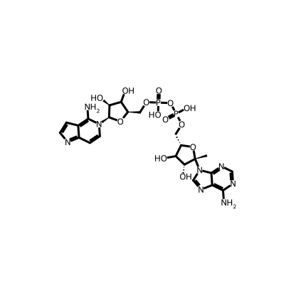 C[C@]1(n2cnc3c(N)ncnc32)O[C@@H](COP(=O)(O)OP(=O)(O)OC[C@H]2O[C@@H](n3ccc4nccc-4c3N)[C@@H](O)C2O)C(O)[C@H]1O